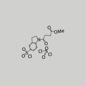 COC(=O)CCC(=O)N1CCc2cc(S(=O)(=O)Cl)ccc21.O=S(=O)(Cl)Cl